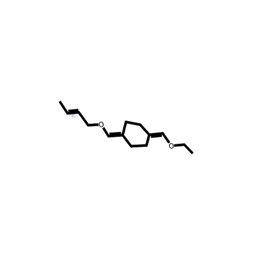 C/C=C/COC=C1CCC(=COCC)CC1